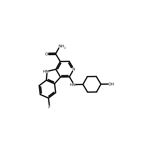 NC(=O)c1cnc(NC2CCC(O)CC2)c2c1[nH]c1ccc(F)cc12